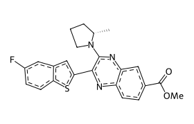 COC(=O)c1ccc2nc(-c3cc4cc(F)ccc4s3)c(N3CCC[C@@H]3C)nc2c1